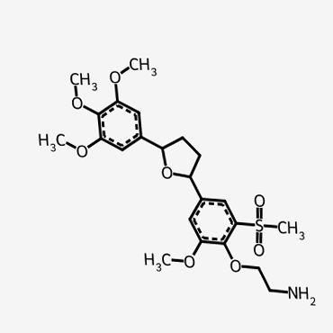 COc1cc(C2CCC(c3cc(OC)c(OCCN)c(S(C)(=O)=O)c3)O2)cc(OC)c1OC